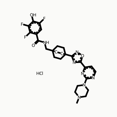 CN1CCN(c2nccc(-c3nc(C45CCC(CNC(=O)c6cc(F)c(O)c(F)c6F)(CC4)CC5)no3)n2)CC1.Cl